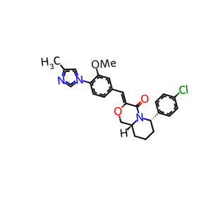 COc1cc(/C=C2\OC[C@H]3CCC[C@@H](c4ccc(Cl)cc4)N3C2=O)ccc1-n1cnc(C)c1